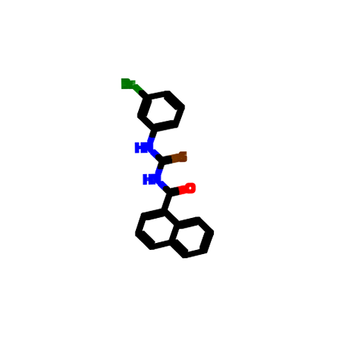 O=C(NC(=S)Nc1cccc(Br)c1)c1cccc2ccccc12